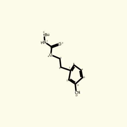 CC(C)(C)NC(=O)OCCc1cccc(C#N)c1